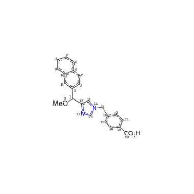 COC(c1ccc2ccccc2c1)c1cn(Cc2ccc(C(=O)O)cc2)cn1